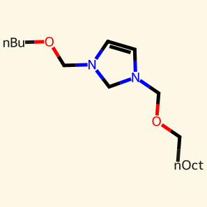 CCCCCCCCCOCN1C=CN(COCCCC)C1